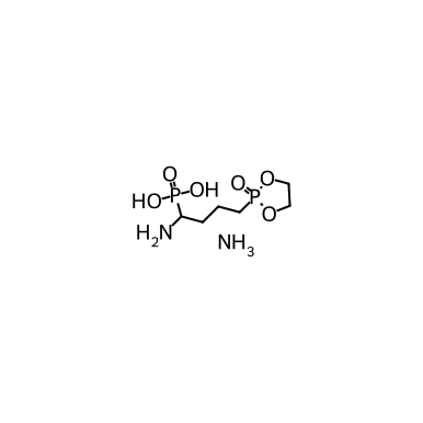 N.NC(CCCP1(=O)OCCO1)P(=O)(O)O